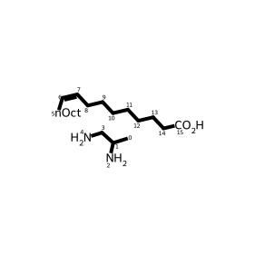 CC(N)CN.CCCCCCCC/C=C\CCCCCCCC(=O)O